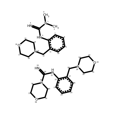 CN(C)C(=N)Nc1ccccc1CN1CCOCC1.N=C(Nc1ccccc1CN1CCOCC1)N1CCOCC1